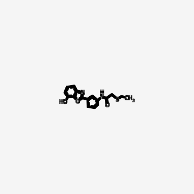 CCSCC(=O)Nc1cccc(-c2nc3cccc(O)c3o2)c1